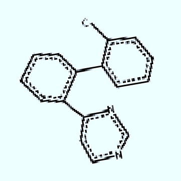 Clc1ccccc1-c1ccccc1-c1ccncn1